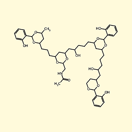 CC(=O)NCC1OC(CCCC2CC(C)OC(c3ccccc3O)O2)CC(CC(O)CCCC2CC(CCCC(O)CC3CCOC(c4ccccc4O)O3)OC(c3ccccc3O)O2)O1